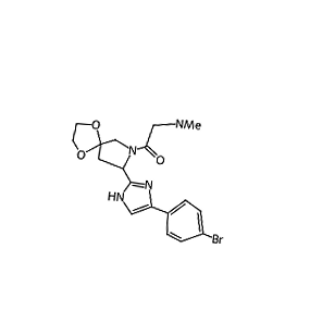 CNCC(=O)N1CC2(CC1c1nc(-c3ccc(Br)cc3)c[nH]1)OCCO2